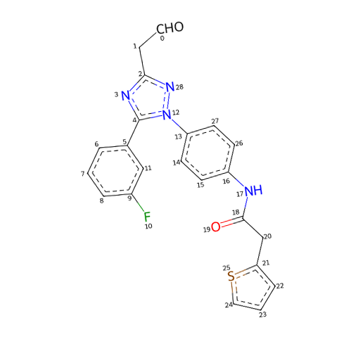 O=CCc1nc(-c2cccc(F)c2)n(-c2ccc(NC(=O)Cc3cccs3)cc2)n1